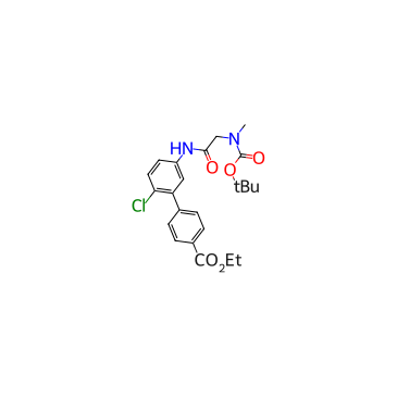 CCOC(=O)c1ccc(-c2cc(NC(=O)CN(C)C(=O)OC(C)(C)C)ccc2Cl)cc1